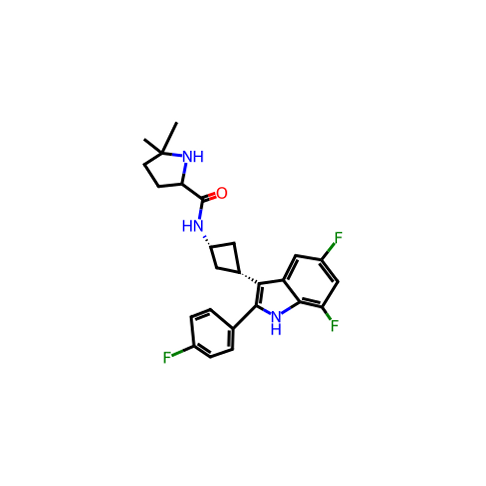 CC1(C)CCC(C(=O)N[C@H]2C[C@@H](c3c(-c4ccc(F)cc4)[nH]c4c(F)cc(F)cc43)C2)N1